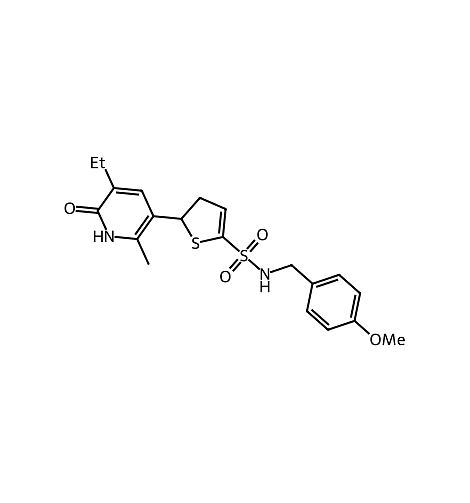 CCc1cc(C2CC=C(S(=O)(=O)NCc3ccc(OC)cc3)S2)c(C)[nH]c1=O